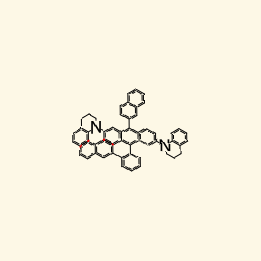 c1ccc2c(c1)CCCN2c1ccc2c(-c3ccccc3-c3ccc4ccccc4c3)c3cc(N4CCCc5ccccc54)ccc3c(-c3ccc4ccccc4c3)c2c1